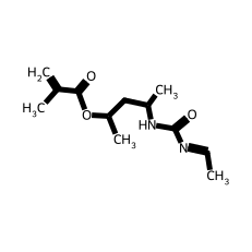 C=C(C)C(=O)OC(C)CC(C)NC(=O)N=CC